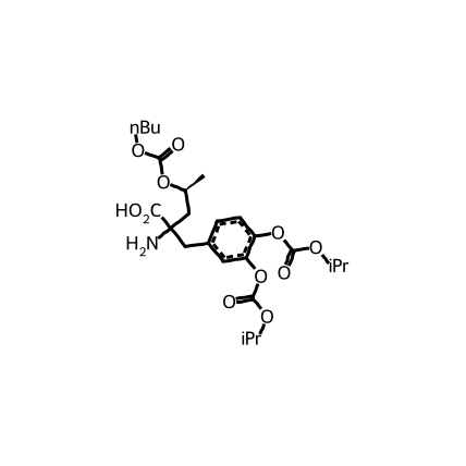 CCCCOC(=O)O[C@@H](C)CC(N)(Cc1ccc(OC(=O)OC(C)C)c(OC(=O)OC(C)C)c1)C(=O)O